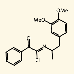 COc1ccc(CC(C)N=C(Cl)C(=O)c2ccccc2)cc1OC